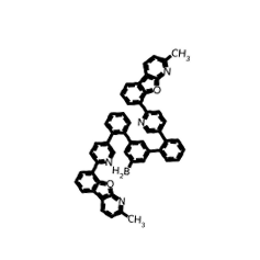 Bc1cc(-c2ccccc2-c2ccc(-c3cccc4c3oc3nc(C)ccc34)nc2)cc(-c2ccccc2-c2ccc(-c3cccc4c3oc3nc(C)ccc34)nc2)c1